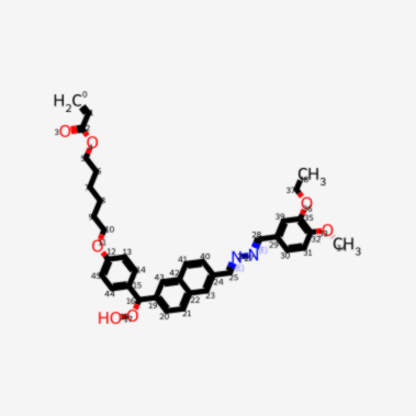 C=CC(=O)OCCCCCCOc1ccc(C(OO)c2ccc3cc(/C=N/N=C/c4ccc(OC)c(OCC)c4)ccc3c2)cc1